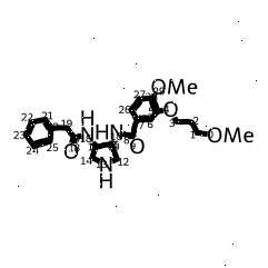 COCCCOc1cc(C(=O)N[C@@H]2CNCC2NC(=O)Cc2ccccc2)ccc1OC